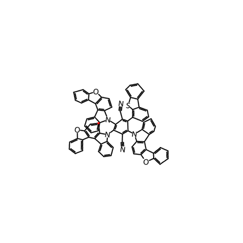 N#Cc1c(-c2cccc3c2sc2ccccc23)c(-n2c3ccccc3c3c4c(ccc32)oc2ccccc24)c(C#N)c(-n2c3ccccc3c3c4c(ccc32)oc2ccccc24)c1-n1c2ccccc2c2c3c(ccc21)oc1ccccc13